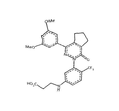 COc1cc(OC)cc(-c2nn(-c3cc(NCCC(=O)O)ccc3C(F)(F)F)c(=O)c3c2CCC3)c1